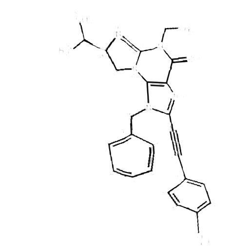 CCN1C(=O)c2nc(C#Cc3ccc(C)cc3)n(Cc3ccccc3)c2N2C[C@@H](C(C)C)N=C12